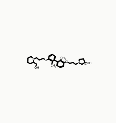 Cc1c(OCCCN2CC[C@@H](O)C2)cccc1-c1cccc(OCCCN2CCCCC2CO)c1C